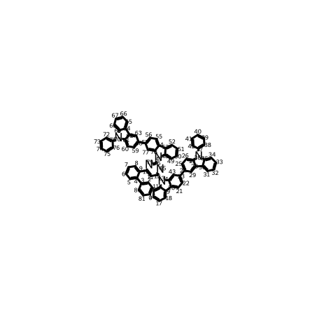 c1ccc(-c2ccccc2-c2cc(-n3c4ccccc4c4ccc(-c5ccc6c(c5)c5ccccc5n6-c5ccccc5)cc43)nc(-n3c4ccccc4c4ccc(-c5ccc6c(c5)c5ccccc5n6-c5ccccc5)cc43)n2)cc1